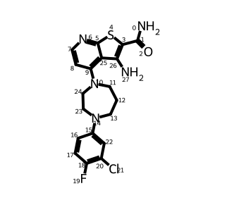 NC(=O)c1sc2nccc(N3CCCN(c4ccc(F)c(Cl)c4)CC3)c2c1N